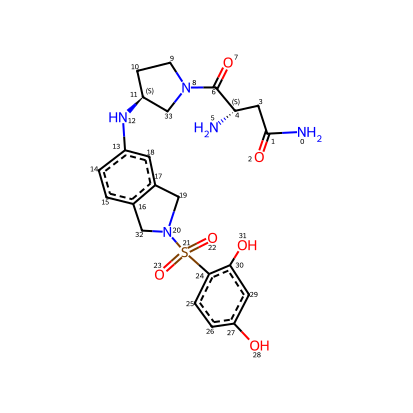 NC(=O)C[C@H](N)C(=O)N1CC[C@H](Nc2ccc3c(c2)CN(S(=O)(=O)c2ccc(O)cc2O)C3)C1